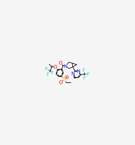 CCS(=O)(=O)c1ccc(O[C@H](C)C(F)(F)F)c(C(=O)N2CC3CC3(c3nccc(C(F)(F)F)n3)C2)c1